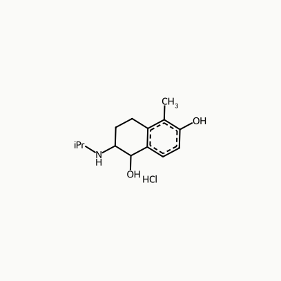 Cc1c(O)ccc2c1CCC(NC(C)C)C2O.Cl